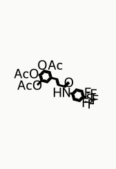 CC(=O)Oc1cc(C=CC(=O)Nc2ccc(S(F)(F)(F)(F)F)cc2)cc(OC(C)=O)c1OC(C)=O